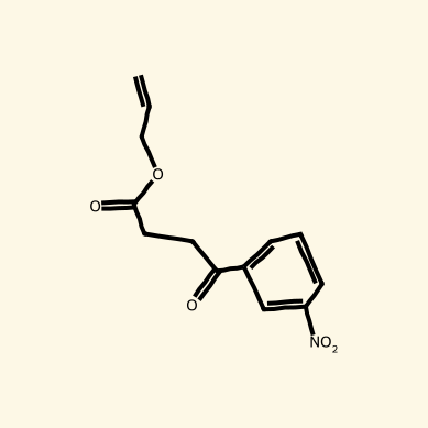 C=CCOC(=O)CCC(=O)c1cccc([N+](=O)[O-])c1